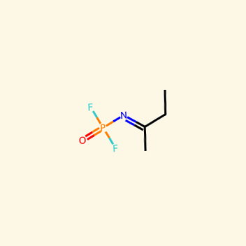 CCC(C)=NP(=O)(F)F